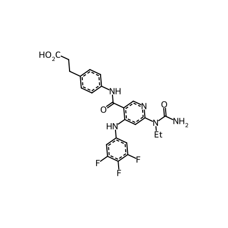 CCN(C(N)=O)c1cc(Nc2cc(F)c(F)c(F)c2)c(C(=O)Nc2ccc(CCC(=O)O)cc2)cn1